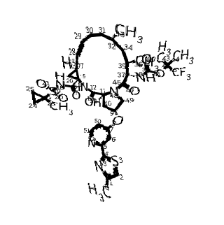 Cc1csc(-c2cc(O[C@@H]3C[C@H]4C(=O)N[C@]5(C(=O)NS(=O)(=O)C6(C)CC6)C[C@H]5/C=C\CC[C@@H](C)C[C@@H](C)[C@H](NC(=O)OC(C)(C)C(F)(F)F)C(=O)N4C3)ccn2)n1